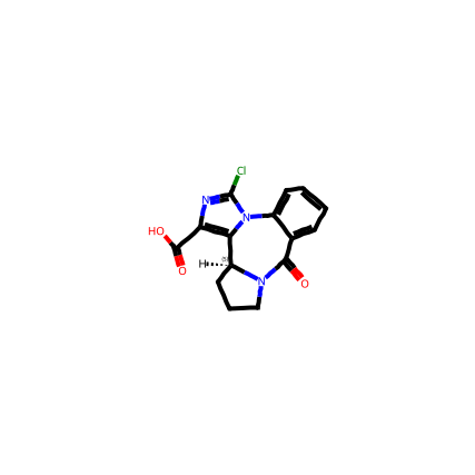 O=C(O)c1nc(Cl)n2c1[C@@H]1CCCN1C(=O)c1ccccc1-2